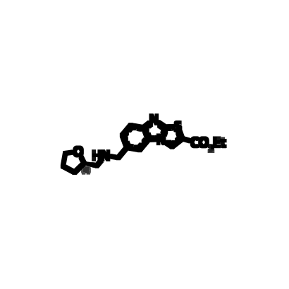 CCOC(=O)c1cn2c(nc3ccc(CNC[C@H]4CCCO4)cc32)s1